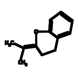 CC(C)=C1CCc2ccccc2O1